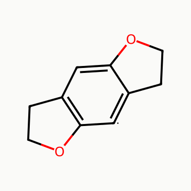 [c]1c2c(cc3c1OCC3)OCC2